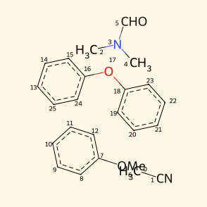 CC#N.CN(C)C=O.COc1ccccc1.c1ccc(Oc2ccccc2)cc1